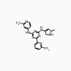 CN1C=C(Nc2nc(Nc3ccnc(C(F)(F)F)c3)nc(-c3cccc(C(F)(F)F)n3)n2)CN1